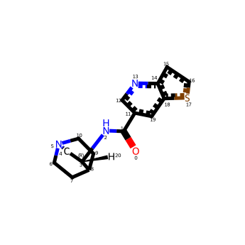 O=C(N[C@H]1CN2CCC1CC2)c1cnc2ccsc2c1